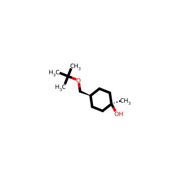 CC(C)(C)OC[C@H]1CC[C@@](C)(O)CC1